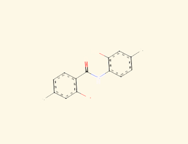 O=C(Nc1ccc([N+](=O)[O-])cc1O)c1ccc([N+](=O)[O-])cc1O